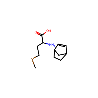 C1=CC2CCC1C2.CSCCC(N)C(=O)O